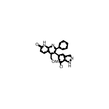 COCc1c(-c2cc(Cl)c3[nH]ncc3c2)c(-c2ccccc2)nc2[nH]c(=O)ccc12